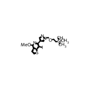 COc1nc(-c2cnn(COCC[Si](C)(C)C)c2)c(I)c2sccc12